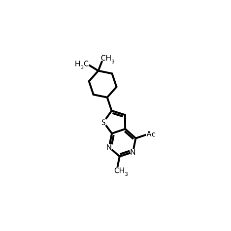 CC(=O)c1nc(C)nc2sc(C3CCC(C)(C)CC3)cc12